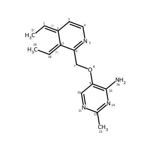 C/C=c1/ccnc(COc2cnc(C)nc2N)/c1=C/C